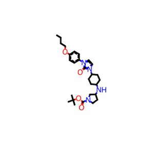 CCCCOc1ccc(-n2ccn(C3CCC(NC4CCN(C(=O)OC(C)(C)C)C4)CC3)c2=O)cc1